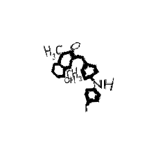 CC1=C2CCC[C@H](O)[C@@]2(C)CC(=Cc2ccc(Nc3ccc(I)cc3)cc2)C1=O